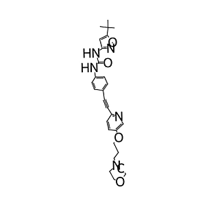 CC(C)(C)c1cc(NC(=O)Nc2ccc(C#Cc3ccc(OCCCN4CCOCC4)cn3)cc2)no1